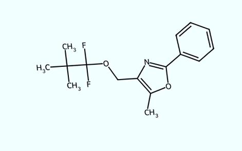 Cc1oc(-c2ccccc2)nc1COC(F)(F)C(C)(C)C